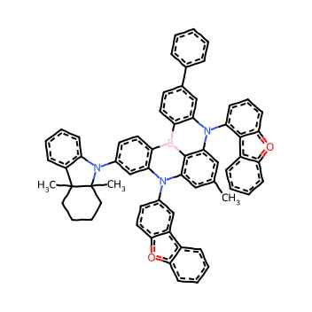 Cc1cc2c3c(c1)N(c1cccc4oc5ccccc5c14)c1cc(-c4ccccc4)ccc1B3c1ccc(N3c4ccccc4C4(C)CCCCC34C)cc1N2c1ccc2oc3ccccc3c2c1